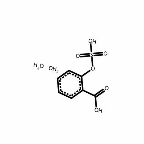 O.O.O=C(O)c1ccccc1OS(=O)(=O)O